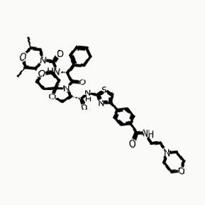 C[C@@H]1CN(C(=O)N[C@@H](C(=O)N2[C@H](C(=O)Nc3nc(-c4ccc(C(=O)NCCN5CCOCC5)cc4)cs3)COC23CCOCC3)C2=CC=CCC2)C[C@H](C)O1